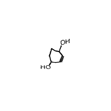 OC1C#CC(O)CC1